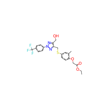 CCOC(=O)COc1ccc(SCc2nn(-c3ccc(C(F)(F)F)cc3)nc2CO)cc1C